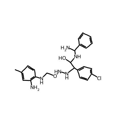 Cc1ccc(NCONNC(c2ccc(Cl)cc2)C(O)NC(N)c2ccccc2)c(N)c1